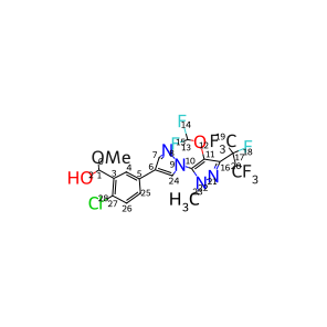 COC(O)c1cc(-c2cnn(-c3c(OC(F)F)c(C(F)(C(F)(F)F)C(F)(F)F)nn3C)c2)ccc1Cl